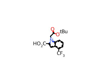 CC(C)(C)OC(=O)Cn1c(C(=O)O)cc2c(C(F)(F)F)cccc21